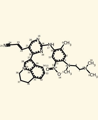 Cc1cc(N(C)CCN(C)C)c([N+](=O)[O-])cc1Nc1ncc(C=CC#N)c(-c2cn3c4c(cccc24)CCC3)n1